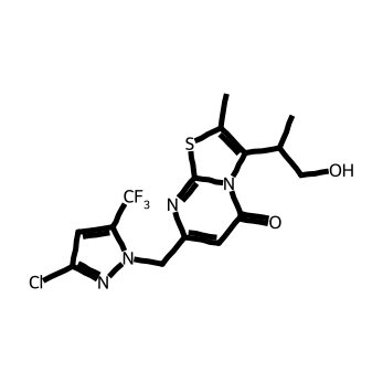 Cc1sc2nc(Cn3nc(Cl)cc3C(F)(F)F)cc(=O)n2c1C(C)CO